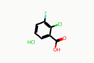 Cl.O=C(O)c1cccc(F)c1Cl